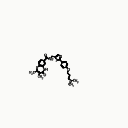 CC1=C(C)C(=O)Nc2cc(C(=O)NCc3cnc(-c4ccc(OCCCN(C)C)cc4)s3)ccc2S1